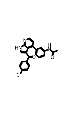 CC(=O)Nc1cccc(-c2ccnc3[nH]cc(C(=O)c4ccc(Cl)cc4)c23)c1